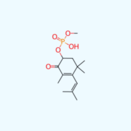 COP(=O)(O)OC1CC(C)(C)C(C=C(C)C)=C(C)C1=O